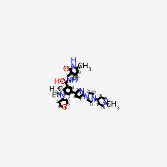 CCN(c1cc(-c2ccc(N3CCN(C4CCN(C)CC4)CC3)nc2)cc(C(O)NCc2c(C(C)C)cc(C)[nH]c2=O)c1C)C1CCOCC1